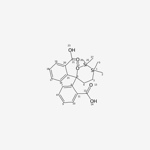 C[Si]1(C)CCC(c2ccccc2C(=O)O)(c2ccccc2C(=O)O)O[Si]1(C)C